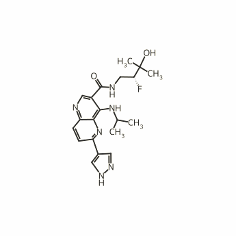 CC(C)Nc1c(C(=O)NC[C@@H](F)C(C)(C)O)cnc2ccc(-c3cn[nH]c3)nc12